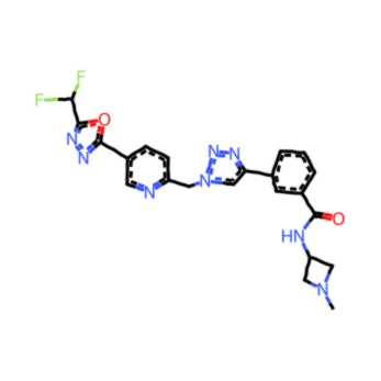 CN1CC(NC(=O)c2cccc(-c3cn(Cc4ccc(-c5nnc(C(F)F)o5)cn4)nn3)c2)C1